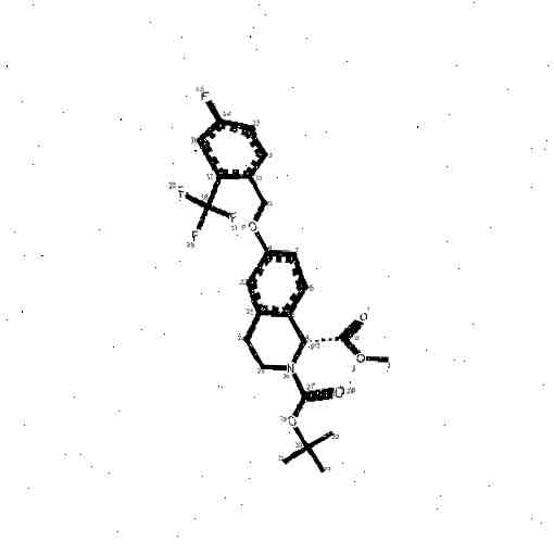 COC(=O)[C@H]1c2ccc(OCc3ccc(F)cc3C(F)(F)F)cc2CCN1C(=O)OC(C)(C)C